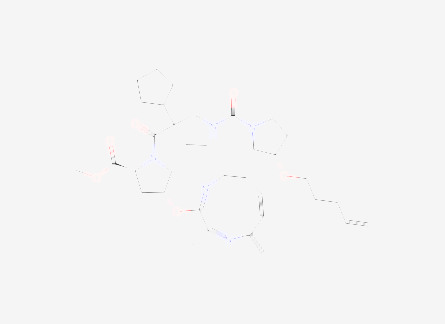 C=CCCCO[C@H]1CCN(C(=O)NS[C@@](CC)(C(=O)N2C[C@H](OC3=N/CC/C=C\C(=C)/N=C\3Cl)C[C@H]2C(=O)OC)C2CCCC2)C1